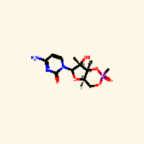 C[C@]1(O)C(n2ccc(N)nc2=O)O[C@@H]2COP(C)(=O)O[C@H]21